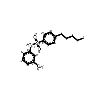 CCCCCc1ccc(S(=O)(=O)Nc2cccc(O)c2)cc1